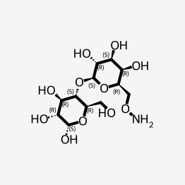 NOC[C@H]1O[C@@H](O[C@H]2[C@H](O)[C@@H](O)[C@@H](O)O[C@@H]2CO)[C@H](O)[C@@H](O)[C@H]1O